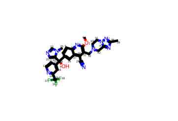 COc1nc2ccc(C(O)(c3ccnc(C(F)(F)F)c3)c3cncn3C)cc2c(C#N)c1CN1CCn2nc(C)nc2C1